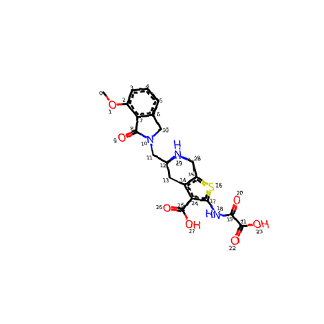 COc1cccc2c1C(=O)N(CC1Cc3c(sc(NC(=O)C(=O)O)c3C(=O)O)CN1)C2